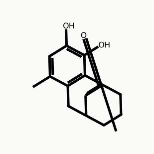 Cc1cc(O)c(O)c2c1CC1CCCC23CC(=O)CCC13